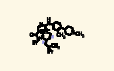 Cc1cc(Nc2ncc3c(=O)n(C(C)C)n(C(/C=C\C=O)=C/N(C)C(C)C)c3n2)ccc1C1CCN(C)CC1